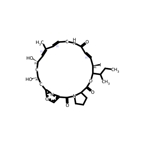 CCC(C)C1OC(=O)C2CCCN2C(=O)c2coc(n2)C[C@H](O)C[C@H](O)/C=C(C)/C=C/CNC(=O)/C=C/[C@H]1I